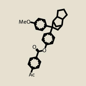 COc1ccc(C2(c3ccc(OC(=O)c4ccc(C(C)=O)cc4)cc3)CC3CC2C2CCCC32)cc1